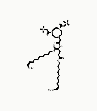 CCCCCCCC/C=C\CCCCCCCCOC(=O)CCC(NC(=O)CN1CCN(C(=O)C[N+](C)(C)C)CCN(C(=O)C[N+](C)(C)C)CC1)C(=O)OCCCCCCCC/C=C\CCCCCCCC